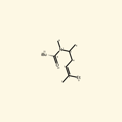 CC/C(C)=C\CC(C)N(C)C(=O)[C@@H](C)CC